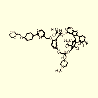 Cc1c(Cl)c2c(Cl)c(C)c1-c1c(-c3ccc(F)cc3)sc3ncnc(c13)O[C@@H](C(=O)O)Cc1cc(ccc1OCc1ccnc(C3CCC(OC[C@@H]4COCCO4)CC3)n1)OC[C@@H](CN1CCN(C)CC1)O2